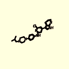 CC(C)CN1CCN(c2ccc(Nc3cc(-c4c[nH]c5ncccc45)cc(Cl)n3)cc2)CC1